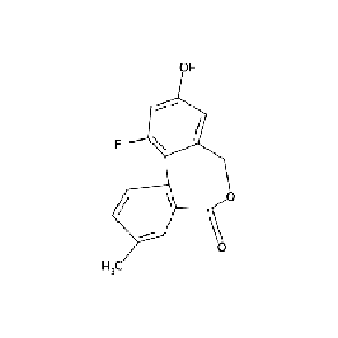 Cc1ccc2c(c1)C(=O)OCc1cc(O)cc(F)c1-2